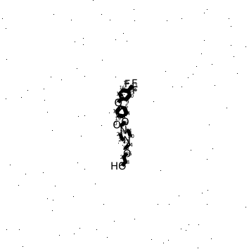 O=C(Oc1ccc(Oc2ccc(C(F)(F)F)cc2)cc1)N1CCN(CCOCCO)CC1